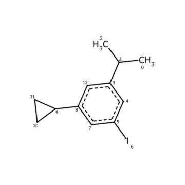 C[C](C)c1cc(I)cc(C2CC2)c1